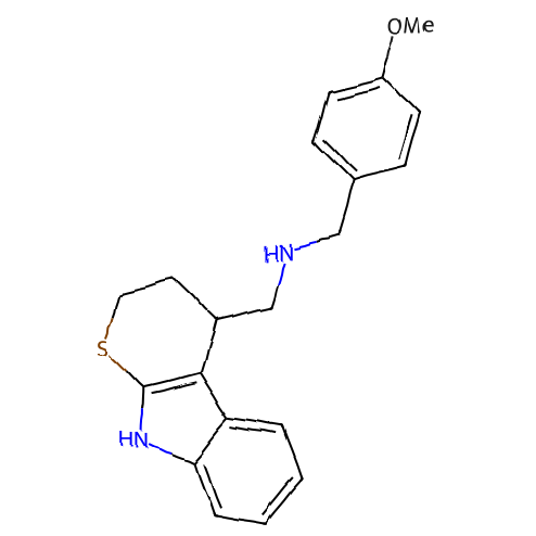 COc1ccc(CNCC2CCSc3[nH]c4ccccc4c32)cc1